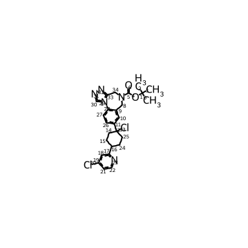 CC(C)(C)OC(=O)N1Cc2cc(C3(Cl)CCC(c4cc(Cl)ccn4)CC3)ccc2-n2cnnc2C1